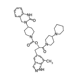 Cc1cc(CC(OC(=O)N2CCC(N3Cc4ccccc4NC3=O)CC2)C(=O)N2CCC(N3CCCCC3)CC2)cc2cn[nH]c12